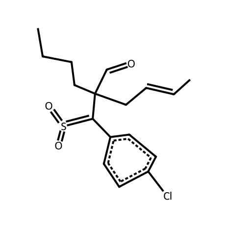 CC=CCC(C=O)(CCCC)C(c1ccc(Cl)cc1)=S(=O)=O